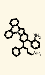 N/C=C\C=C(c1ccccc1)c1cc2c(cc1-c1ccccc1N)cc1c3ccccc3c3ccccc3n21